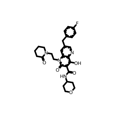 O=C(NC1CCOCC1)c1c(O)c2ncc(Cc3ccc(F)cc3)cc2n(CCN2CCCCC2=O)c1=O